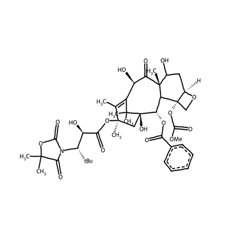 COC(=O)O[C@@]12CO[C@@H]1CC(O)[C@@]1(C)C(=O)[C@H](O)C3=C(C)[C@](C)(OC(=O)[C@H](O)[C@@H](N4C(=O)OC(C)(C)C4=O)C(C)(C)C)C[C@@](O)([C@@H](OC(=O)c4ccccc4)C12)C3(C)C